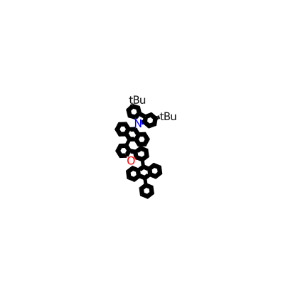 CC(C)(C)c1ccc2c(c1)c1cc(C(C)(C)C)ccc1n2-c1c2ccccc2c(-c2cccc3oc4c(-c5c6ccccc6c(-c6ccccc6)c6ccccc56)cccc4c23)c2ccccc12